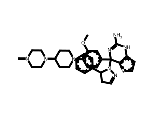 COc1cc(C2(N3N=CCC3c3ccccc3)N=C(N)Nc3ccsc32)ccc1N1CCC(N2CCN(C)CC2)CC1